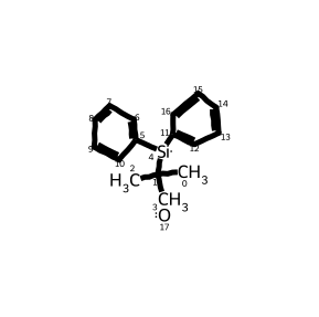 CC(C)(C)[Si](c1ccccc1)c1ccccc1.[O]